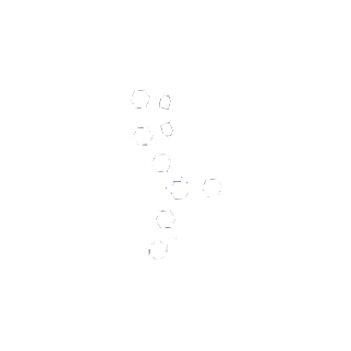 CC1(C)c2ccccc2-c2ccc(-c3cc(-c4ccccc4)nc(-c4ccc(-c5ccc6c(c5)C5(c7ccccc7S6)c6ccccc6-c6ccccc65)cc4)n3)cc21